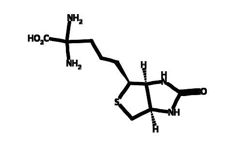 NC(N)(CCC[C@@H]1SC[C@@H]2NC(=O)N[C@@H]21)C(=O)O